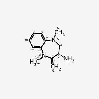 C=C1[C@@H](N)CN(C)c2ccccc2N1C